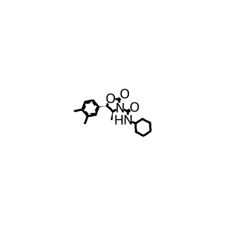 Cc1ccc([C@@H]2OC(=O)N(C(=O)NC3CCCCC3)[C@H]2C)cc1C